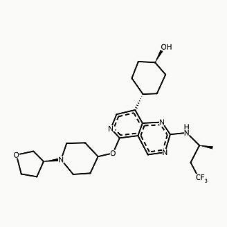 C[C@@H](CC(F)(F)F)Nc1ncc2c(OC3CCN([C@H]4CCOC4)CC3)ncc([C@H]3CC[C@H](O)CC3)c2n1